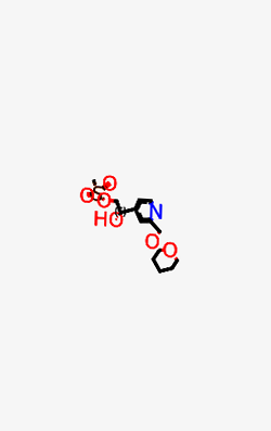 CS(=O)(=O)OC[C@@H](O)c1ccnc(COC2CCCCO2)c1